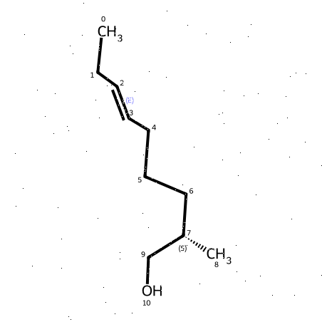 CC/C=C/CCC[C@H](C)CO